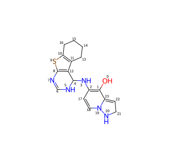 OC1=C(NC2NC=Nc3sc4c(c32)CCCC4)C=CN2NCC=C12